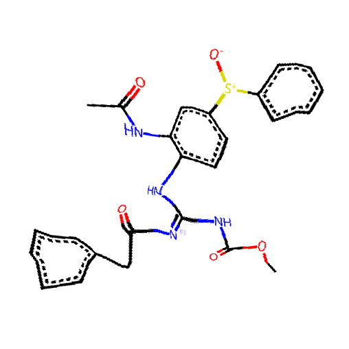 COC(=O)N/C(=N/C(=O)Cc1ccccc1)Nc1ccc([S+]([O-])c2ccccc2)cc1NC(C)=O